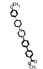 COC(=O)c1ccc(-c2ccc(N3CCN([C@H]4CC[C@@H](c5ccc(OC)cc5)CC4)CC3)cc2)cc1